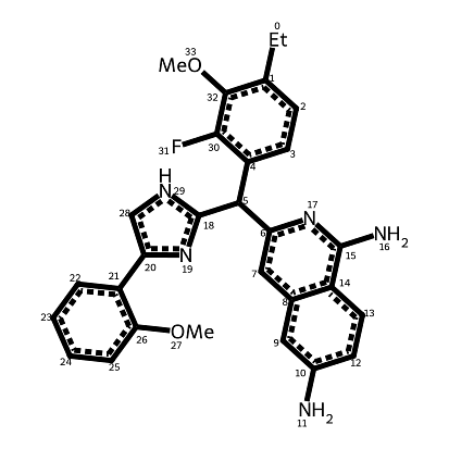 CCc1ccc(C(c2cc3cc(N)ccc3c(N)n2)c2nc(-c3ccccc3OC)c[nH]2)c(F)c1OC